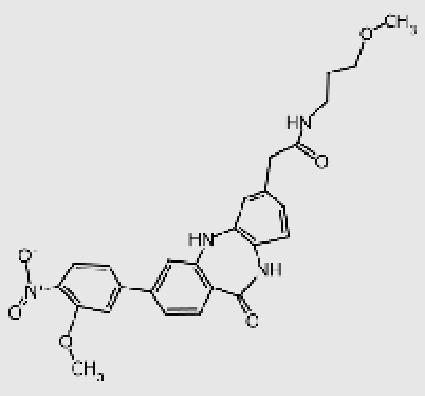 COCCCNC(=O)Cc1ccc2c(c1)Nc1cc(-c3ccc([N+](=O)[O-])c(OC)c3)ccc1C(=O)N2